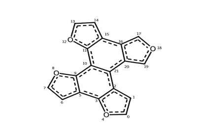 c1cc2c(o1)c1ccoc1c1c3occc3c3cocc3c21